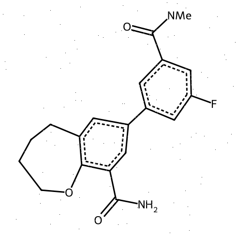 CNC(=O)c1cc(F)cc(-c2cc3c(c(C(N)=O)c2)OCCCC3)c1